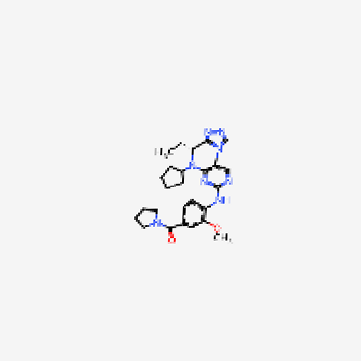 CC[C@@H]1c2nncn2-c2cnc(Nc3ccc(C(=O)N4CCCC4)cc3OC)nc2N1C1CCCC1